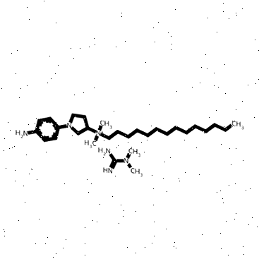 CCCCCCCCCCCCCC[N+](C)(C)C1CCN(c2ccc(N)cc2)C1.CN(C)C(=N)N